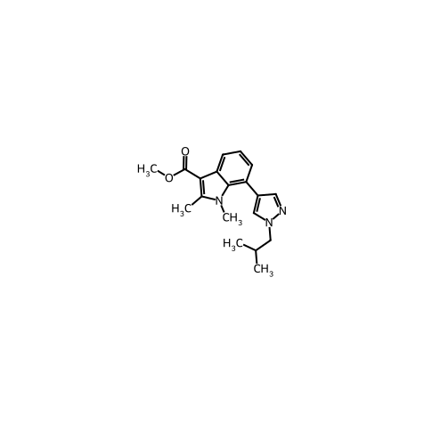 COC(=O)c1c(C)n(C)c2c(-c3cnn(CC(C)C)c3)cccc12